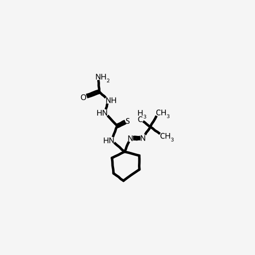 CC(C)(C)N=NC1(NC(=S)NNC(N)=O)CCCCC1